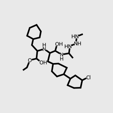 CCOC(O)C(CC1CCCCC1)NC(CC1CCC(C2CCCC(Cl)C2)CC1)C(O)NC(C)NNNC